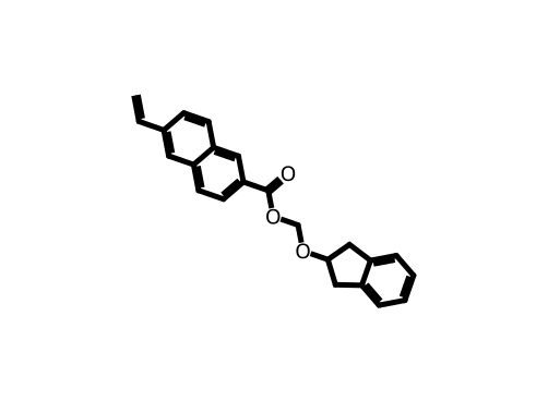 C=Cc1ccc2cc(C(=O)OCOC3Cc4ccccc4C3)ccc2c1